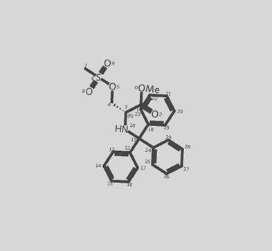 COC(=O)[C@@H](COS(C)(=O)=O)NC(c1ccccc1)(c1ccccc1)c1ccccc1